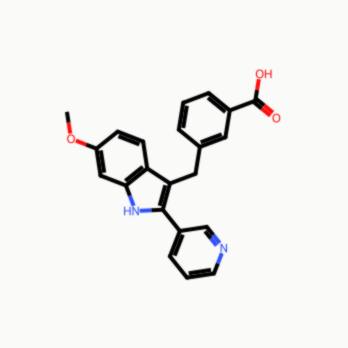 COc1ccc2c(Cc3cccc(C(=O)O)c3)c(-c3cccnc3)[nH]c2c1